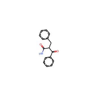 [NH]C(=O)C(Cc1ccccc1)C(=O)c1ccccc1